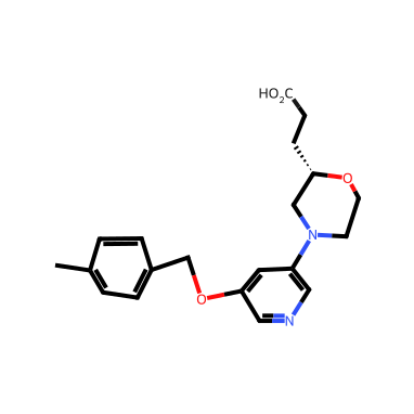 Cc1ccc(COc2cncc(N3CCO[C@@H](CCC(=O)O)C3)c2)cc1